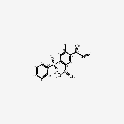 C=NC(=O)c1cc([N+](=O)[O-])c(S(=O)(=O)c2ccccc2)cc1C